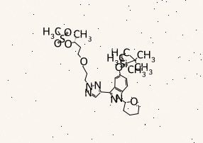 C[C@H](CCOCCCn1ncc(-c2nn(C3CCCCO3)c3ccc(O[Si](C)(C)C(C)(C)C)cc23)n1)OS(C)(=O)=O